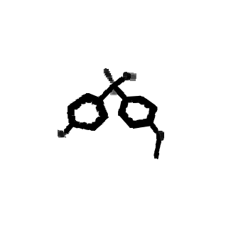 COc1ccc([C@](C)(O)c2ccc(Br)cc2)cc1